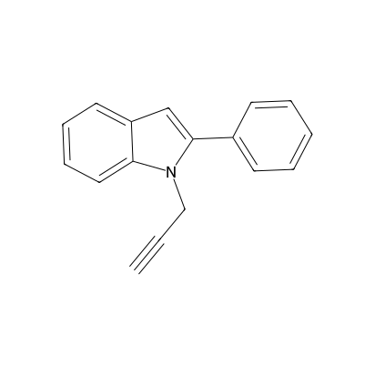 C#CCn1c(-c2ccccc2)cc2ccccc21